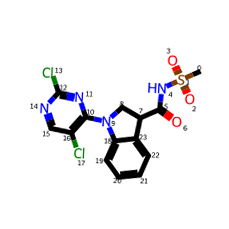 CS(=O)(=O)NC(=O)C1CN(c2nc(Cl)ncc2Cl)c2ccccc21